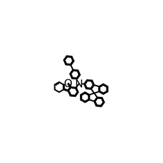 C1=Cc2oc3c(N(c4ccc(-c5ccccc5)cc4)c4ccc5c(c4)C4(c6ccccc6-c6ccccc64)c4ccccc4-5)cccc3c2CC1